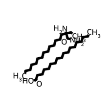 CCCCCCCCCCCCCCC(N)(CC)C(N)=O.CCCCCCCCCCCCCCCCCC(=O)O